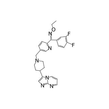 CCON=C(c1ccc(F)c(F)c1)c1ccc(CN2CCC(c3cnc4ncccn34)CC2)cn1